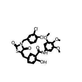 COc1cc(NC(=O)c2cc(C=C3SC(=O)N(Cc4ccc(Cl)c(Cl)c4)C3=O)ccc2O)cc(OC)c1OC